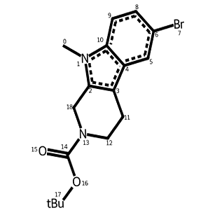 Cn1c2c(c3cc(Br)ccc31)CCN(C(=O)OC(C)(C)C)C2